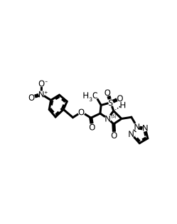 CC1C(C(=O)OCc2ccc([N+](=O)[O-])cc2)N2C(=O)C(Cn3nccn3)[C@@H]2S1(=O)=O